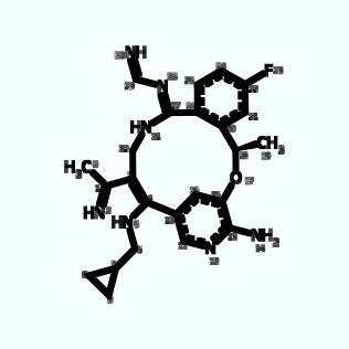 CC(=N)/C1=C(\NCC2CC2)c2cnc(N)c(c2)O[C@H](C)c2cc(F)ccc2/C(=N/C=N)NC1